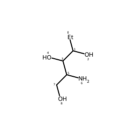 CCC(O)C(O)C(N)CO